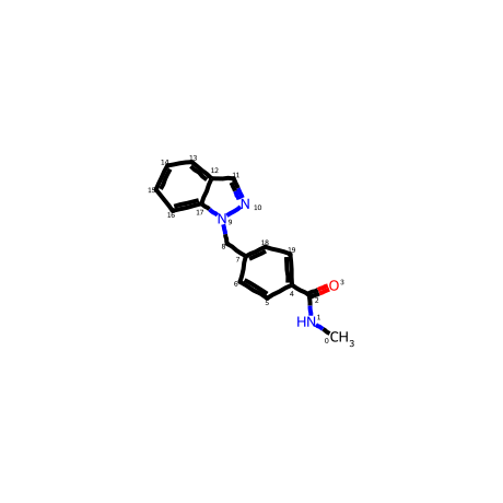 CNC(=O)c1ccc(Cn2ncc3ccccc32)cc1